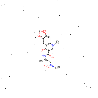 CCCC[C@H](CN(O)C=O)NC(=O)C1CN(CC)c2cc3c(cc2C1=O)OCO3